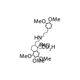 COc1ccc(CCCNCCC2CCc3c(cc(OC)c(OC)c3OC)C2(CC(=O)O)C(C)C)cc1OC.Cl